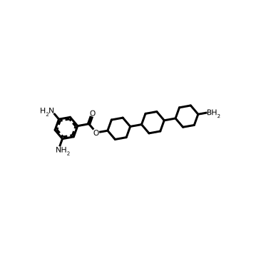 BC1CCC(C2CCC(C3CCC(OC(=O)c4cc(N)cc(N)c4)CC3)CC2)CC1